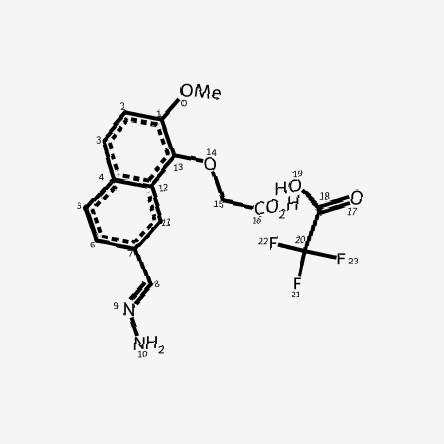 COc1ccc2ccc(C=NN)cc2c1OCC(=O)O.O=C(O)C(F)(F)F